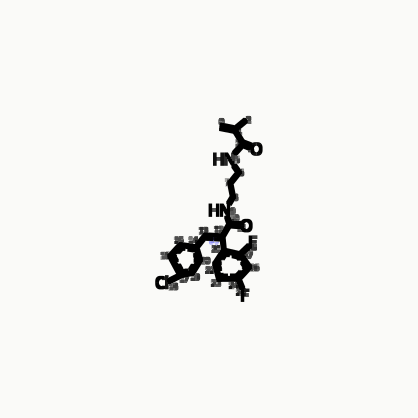 C=C(C)C(=O)NCCCNC(=O)/C(=C/c1ccc(Cl)cc1)c1ccc(F)cc1F